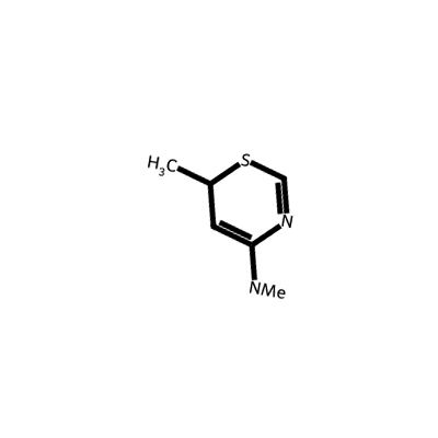 CNC1=CC(C)SC=N1